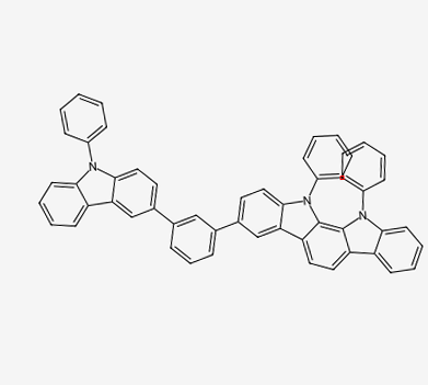 c1ccc(-n2c3ccccc3c3cc(-c4cccc(-c5ccc6c(c5)c5ccc7c8ccccc8n(-c8ccccc8)c7c5n6-c5ccccc5)c4)ccc32)cc1